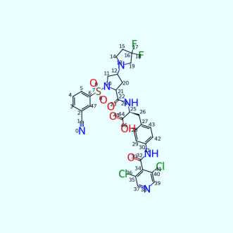 N#Cc1cccc(S(=O)(=O)N2CC(N3CCC(F)(F)C3)CC2C(=O)N[C@@H](Cc2ccc(NC(=O)c3c(Cl)cncc3Cl)cc2)C(=O)O)c1